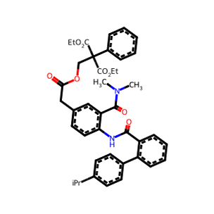 CCOC(=O)C(COC(=O)Cc1ccc(NC(=O)c2ccccc2-c2ccc(C(C)C)cc2)c(C(=O)N(C)C)c1)(C(=O)OCC)c1ccccc1